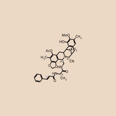 COc1c(C)cc2c(c1O)C1C3Cc4c(OC(C)=O)c(C)c5c(c4[C@H](CNC(=O)[C@H](C)NC(=O)/C=C/c4ccccc4)N3[C@@H](C#N)C(C2)N1C)OCO5